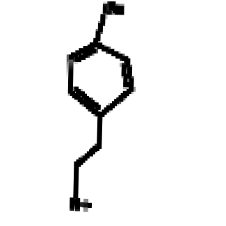 CC(C)(C)c1ccc(CC[NH])cc1